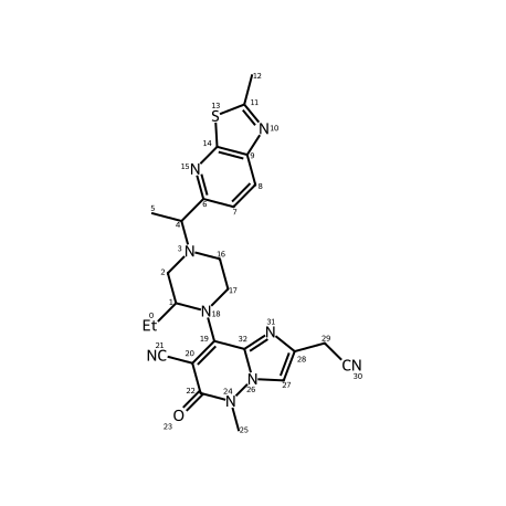 CCC1CN(C(C)c2ccc3nc(C)sc3n2)CCN1c1c(C#N)c(=O)n(C)n2cc(CC#N)nc12